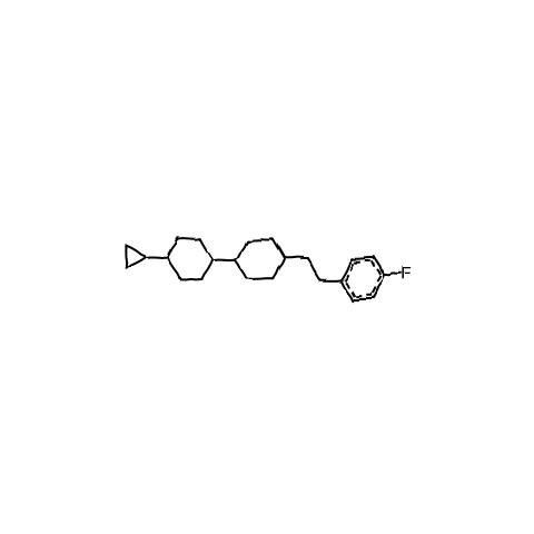 Fc1ccc(CCC2CCC(C3CCC(C4CC4)CC3)CC2)cc1